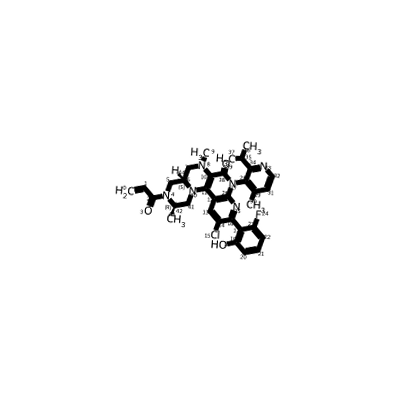 C=CC(=O)N1C[C@@H]2CN(C)c3c(c4cc(Cl)c(-c5c(O)cccc5F)nc4n(-c4c(C)ccnc4C(C)C)c3=O)N2C[C@H]1C